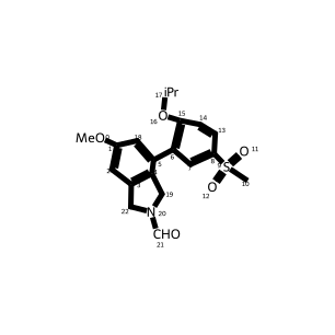 COc1cc2c(c(-c3cc(S(C)(=O)=O)ccc3OC(C)C)c1)CN(C=O)C2